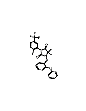 CC1(C)C(=O)N(c2cc(C(F)(F)F)ccc2F)C(=O)N1Cc1ccccc1Oc1ccccc1